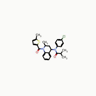 Cc1ccc(C(=O)N2c3ccccc3C(N(C(=O)C(C)C)c3ccc(Cl)cc3)CC2C)s1